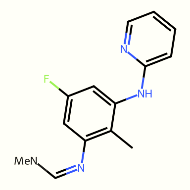 CN/C=N\c1cc(F)cc(Nc2ccccn2)c1C